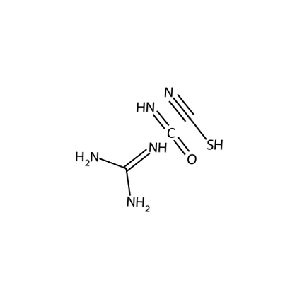 N#CS.N=C(N)N.N=C=O